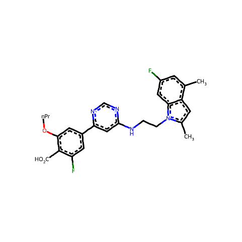 CCCOc1cc(-c2cc(NCCn3c(C)cc4c(C)cc(F)cc43)ncn2)cc(F)c1C(=O)O